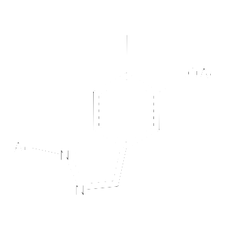 CC(=O)Oc1cc2cnn(C(C)=O)c2cc1C